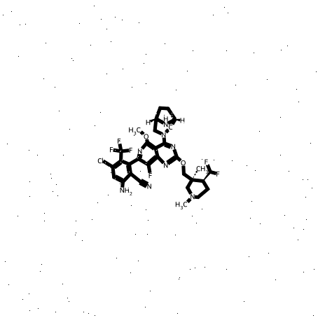 COc1nc(-c2c(C#N)c(N)cc(Cl)c2C(F)(F)F)c(F)c2nc(OC[C@]3(C)CN(C)CC[C@@H]3C(F)F)nc(N3C[C@H]4CC[C@@H](C3)N4)c12